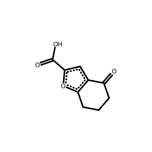 O=C(O)c1cc2c(o1)CCCC2=O